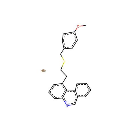 Br.COc1ccc(CSCCc2cccc3ncc4ccccc4c23)cc1